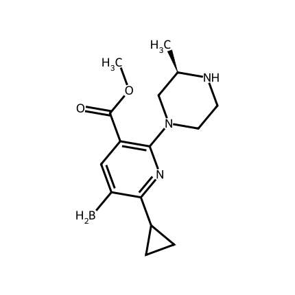 Bc1cc(C(=O)OC)c(N2CCN[C@H](C)C2)nc1C1CC1